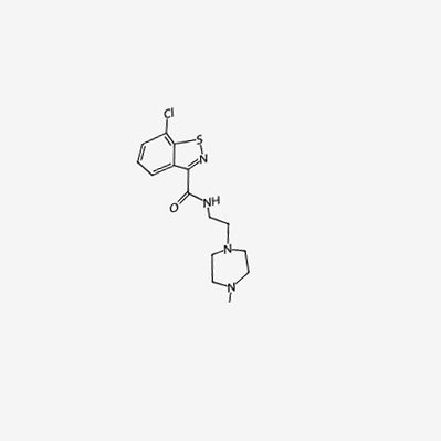 CN1CCN(CCNC(=O)c2nsc3c(Cl)cccc23)CC1